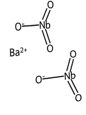 [Ba+2].[O]=[Nb](=[O])[O-].[O]=[Nb](=[O])[O-]